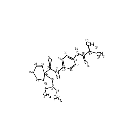 CCC(CC)CC1(C(=O)Nc2ccc(SC(=O)C(C)C)cc2)CCCCC1